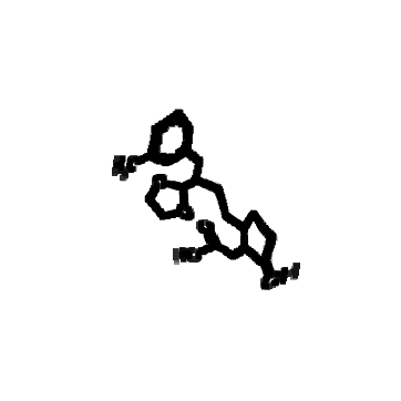 Cc1cccc(CC(CCC2CCC(O)C2CC(=O)O)C2OCCO2)c1